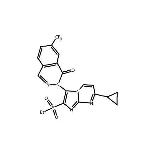 CCS(=O)(=O)c1nc2nc(C3CC3)ccn2c1-n1ncc2ccc(C(F)(F)F)cc2c1=O